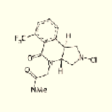 CNC(=O)CN1C(=O)c2c(cccc2C(F)(F)F)[C@H]2CN(Cl)C[C@@H]21